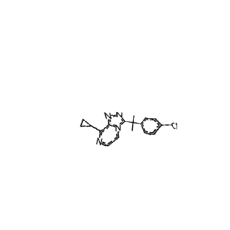 CC(C)(c1ccc(Cl)cc1)c1nnc2c(C3CC3)nccn12